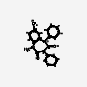 CN1C(=O)C(c2ccccc2)C(=O)N(c2ccccc2)c2cc(C(F)(F)F)ccc21